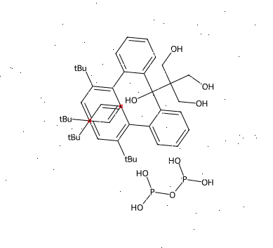 CC(C)(C)c1ccc(-c2ccccc2C(O)(c2ccccc2-c2ccc(C(C)(C)C)cc2C(C)(C)C)C(CO)(CO)CO)c(C(C)(C)C)c1.OP(O)OP(O)O